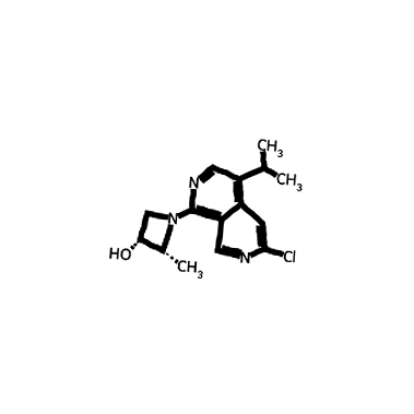 CC(C)c1cnc(N2C[C@@H](O)[C@H]2C)c2cnc(Cl)cc12